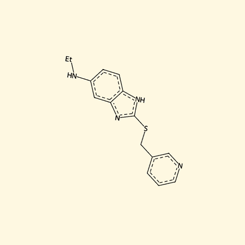 CCNc1ccc2[nH]c(SCc3cccnc3)nc2c1